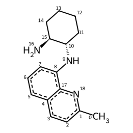 Cc1ccc2cccc(N[C@H]3CCCC[C@@H]3N)c2n1